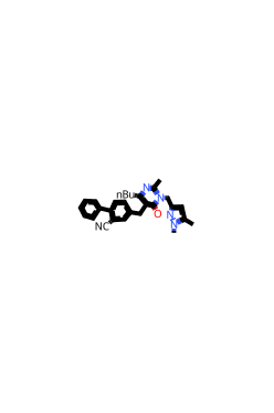 CCCCc1nc(C)n(Cc2cc(C)n(C)n2)c(=O)c1Cc1ccc(-c2ccccc2)c(C#N)c1